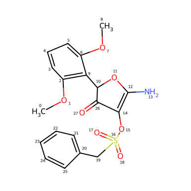 COc1cccc(OC)c1C1OC(N)=C(OS(=O)(=O)Cc2ccccc2)C1=O